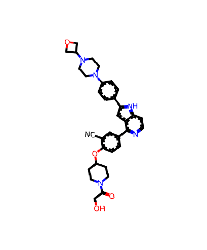 N#Cc1cc(-c2nccc3[nH]c(-c4ccc(N5CCN(C6COC6)CC5)cc4)cc23)ccc1OC1CCN(C(=O)CO)CC1